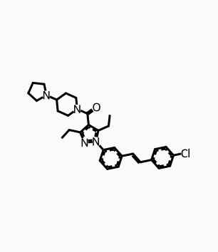 CCc1nn(-c2cccc(C=Cc3ccc(Cl)cc3)c2)c(CC)c1C(=O)N1CCC(N2CCCC2)CC1